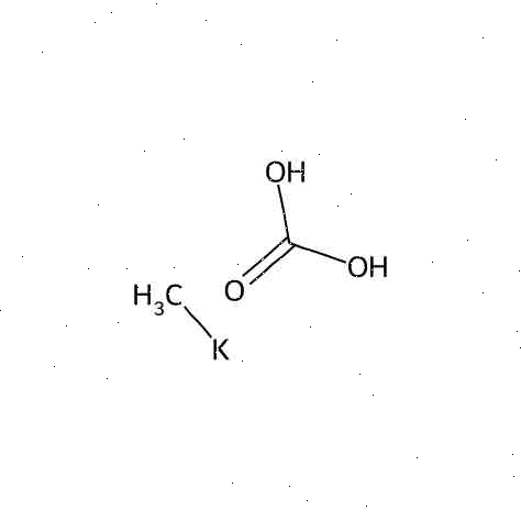 O=C(O)O.[CH3][K]